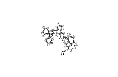 N#Cc1ccc2ccc3ccc(-c4ccc5c(c4)c4ccccc4c4cc6c7ccccc7n(-c7ccccc7)c6cc54)c4ccc1c2c34